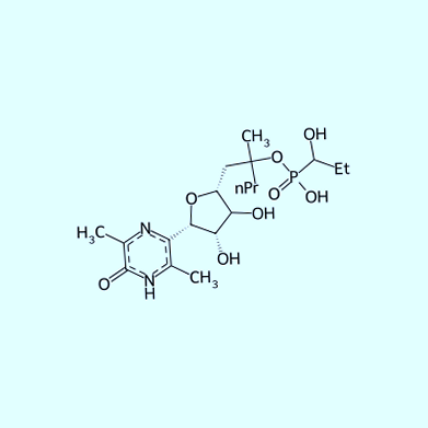 CCCC(C)(C[C@H]1O[C@@H](c2nc(C)c(=O)[nH]c2C)[C@@H](O)C1O)OP(=O)(O)C(O)CC